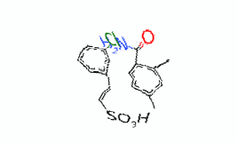 Cc1ccc(C(N)=O)c(C)c1.O=S(=O)(O)/C=C/c1cccc(Cl)c1